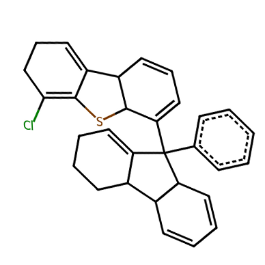 ClC1=C2SC3C(C4(c5ccccc5)C5=CCCCC5C5C=CC=CC54)=CC=CC3C2=CCC1